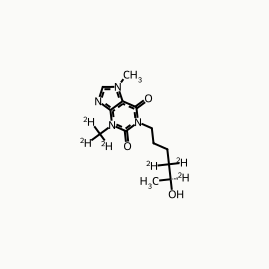 [2H]C([2H])([2H])n1c(=O)n(CCCC([2H])([2H])[C@]([2H])(C)O)c(=O)c2c1ncn2C